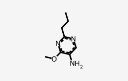 CCCc1ncc(N)c(OC)n1